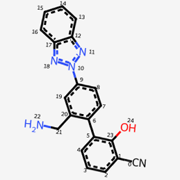 N#Cc1cccc(-c2ccc(-n3nc4ccccc4n3)cc2CN)c1O